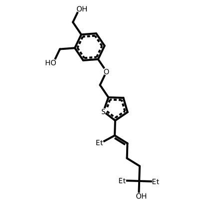 CCC(=CCCC(O)(CC)CC)c1ccc(COc2ccc(CO)c(CO)c2)s1